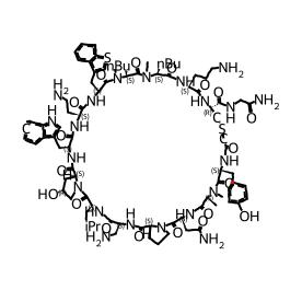 CCCC[C@H]1C(=O)N(C)[C@@H](CCCC)C(=O)N[C@@H](CCCN)C(=O)N[C@H](C(=O)NCC(N)=O)CSCC(=O)N[C@@H](Cc2ccc(O)cc2)C(=O)N(C)[C@@H](C)C(=O)N[C@@H](CC(N)=O)C(=O)N2CCC[C@H]2C(=O)N[C@@H](CN)C(=O)N[C@@H](CC(C)C)C(=O)N2C[C@H](O)C[C@H]2C(=O)N[C@@H](Cc2c[nH]c3ccccc23)C(=O)N[C@@H](CCN)C(=O)N[C@@H](Cc2csc3ccccc23)C(=O)N1C